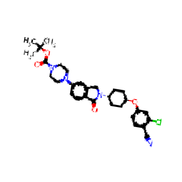 CC(C)(C)OC(=O)N1CCN(c2ccc3c(c2)CN([C@H]2CC[C@H](Oc4ccc(C#N)c(Cl)c4)CC2)C3=O)CC1